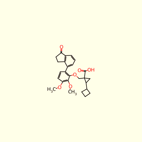 COc1ccc(-c2cccc3c2CCC3=O)c(OCC2(C(=O)O)CC2C2CCC2)c1OC